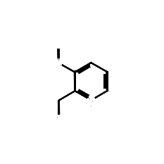 CCSc1cccnc1CN